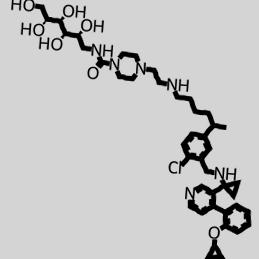 CC(CCCCNCCN1CCN(C(=O)NC[C@H](O)[C@@H](O)[C@H](O)[C@H](O)CO)CC1)c1ccc(Cl)c(CNC2(c3cnccc3-c3ccccc3OC3CC3)CC2)c1